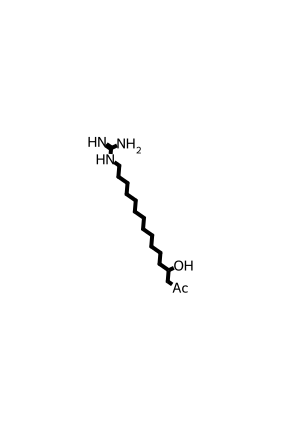 CC(=O)CC(O)CCCCCCCCCCCCNC(=N)N